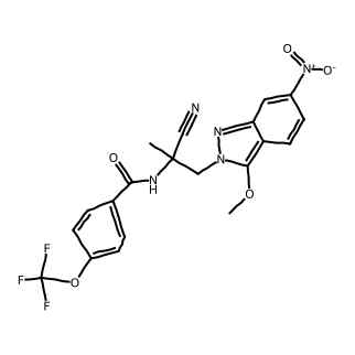 COc1c2ccc([N+](=O)[O-])cc2nn1CC(C)(C#N)NC(=O)c1ccc(OC(F)(F)F)cc1